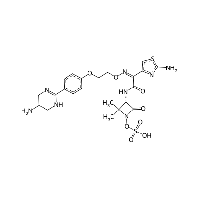 CC1(C)[C@H](NC(=O)C(=NOCCOc2ccc(C3=NCC(N)CN3)cc2)c2csc(N)n2)C(=O)N1OS(=O)(=O)O